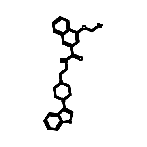 O=C(NCCN1CCN(c2csc3ccccc23)CC1)c1cc(OCBr)c2ccccc2c1